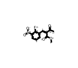 COC(=O)C(=Cc1cccc([N+](=O)[O-])c1F)C(C)=O